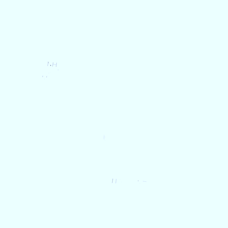 CC(CO)CCCCCCC#CCCCCCCCCCCCC(N)=O